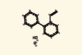 C=C[n+]1ccccc1-c1ccccc1.Cl.[Cl-]